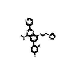 CNc1nc(-c2cccnc2)nc2c(OCCn3cccn3)cc(-c3ccc(F)cc3F)cc12